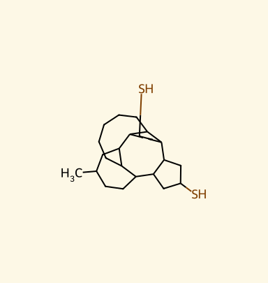 CC1CCC2C3CCCCCC4C(CCC(S)CC4C3C1)C1CC(S)CC21